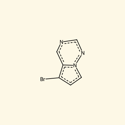 Brc1ccn2ncncc12